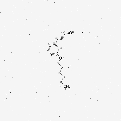 CCCCCCOc1cccc(/C=C/C=O)c1